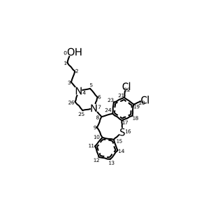 OCCCN1CCN(C2Cc3ccccc3Sc3cc(Cl)c(Cl)cc32)CC1